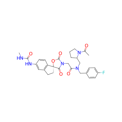 CNC(=O)Nc1ccc2c(c1)CC[C@@]21OC(=O)N(CC(=O)N(Cc2ccc(F)cc2)CC2CCCN2C(C)=O)C1=O